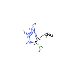 Cn1nnc(Cl)c1C(C)(C)C